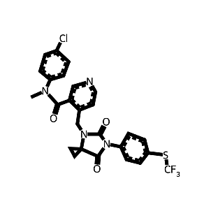 CN(C(=O)c1cnccc1CN1C(=O)N(c2ccc(SC(F)(F)F)cc2)C(=O)C12CC2)c1ccc(Cl)cc1